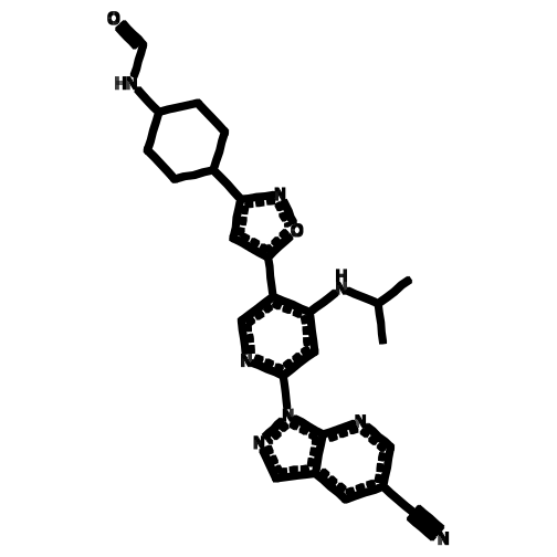 CC(C)Nc1cc(-n2ncc3cc(C#N)cnc32)ncc1-c1cc(C2CCC(NC=O)CC2)no1